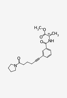 COC(=O)[C@@H](C)NC(=O)c1cccc(C#CCCCC(=O)N2CCCC2)c1